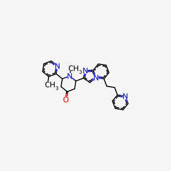 Cc1cccnc1C1CC(=O)CC(c2cn3c(CCc4ccccn4)cccc3n2)N1C